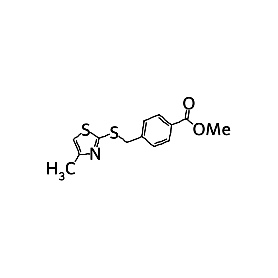 COC(=O)c1ccc(CSc2nc(C)cs2)cc1